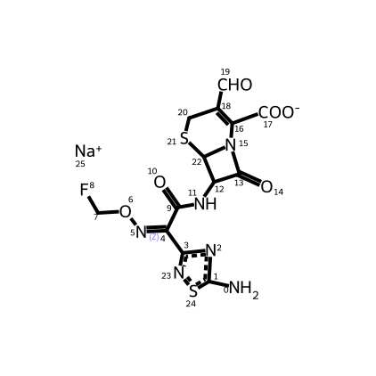 Nc1nc(/C(=N/OCF)C(=O)NC2C(=O)N3C(C(=O)[O-])=C(C=O)CSC23)ns1.[Na+]